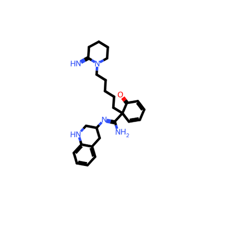 N=C1CCCCN1CCCCCC1(C(N)=NC2CNc3ccccc3C2)C=CC=CC1=O